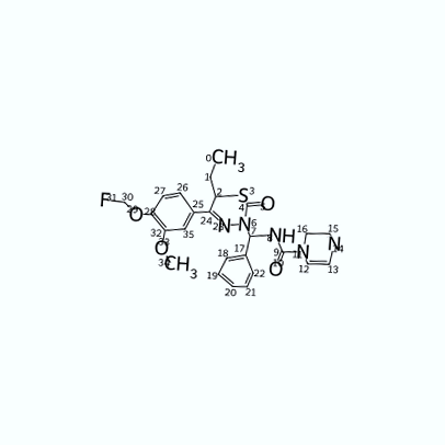 CCC1SC(=O)N(C(NC(=O)N2C=CN=CC2)c2ccccc2)N=C1c1ccc(OCF)c(OC)c1